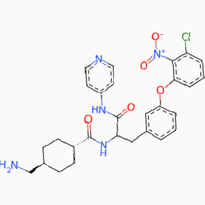 NC[C@H]1CC[C@H](C(=O)NC(Cc2cccc(Oc3cccc(Cl)c3[N+](=O)[O-])c2)C(=O)Nc2ccncc2)CC1